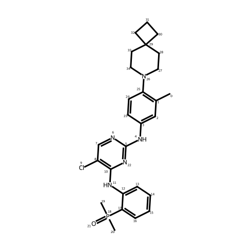 Cc1cc(Nc2ncc(Cl)c(Nc3ccccc3P(C)(C)=O)n2)ccc1N1CCC2(CCC2)CC1